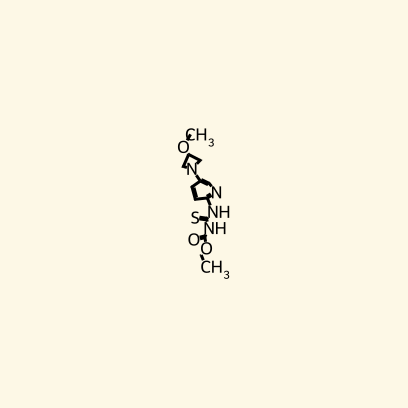 CCOC(=O)NC(=S)Nc1ccc(N2CC(OC)C2)cn1